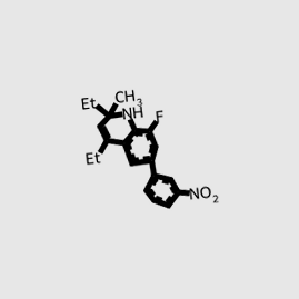 CCC1=CC(C)(CC)Nc2c(F)cc(-c3cccc([N+](=O)[O-])c3)cc21